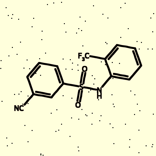 N#Cc1cccc(S(=O)(=O)Nc2ccccc2C(F)(F)F)c1